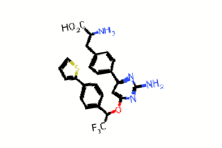 Nc1nc(OC(c2ccc(-c3cccs3)cc2)C(F)(F)F)cc(-c2ccc(CC(N)C(=O)O)cc2)n1